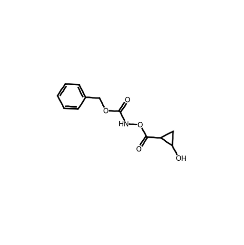 O=C(NOC(=O)C1CC1O)OCc1ccccc1